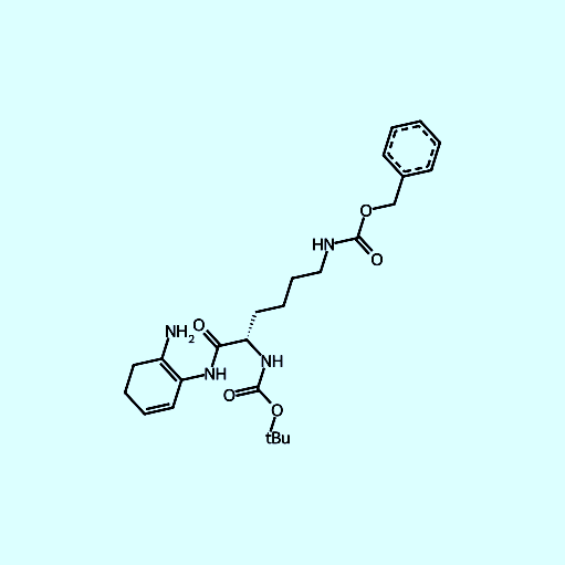 CC(C)(C)OC(=O)N[C@@H](CCCCNC(=O)OCc1ccccc1)C(=O)NC1=C(N)CCC=C1